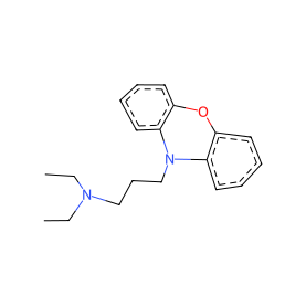 CCN(CC)CCCN1c2ccccc2Oc2ccccc21